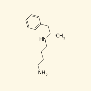 C[C@@H](Cc1ccccc1)NCCCCN